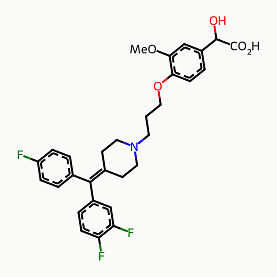 COc1cc(C(O)C(=O)O)ccc1OCCCN1CCC(=C(c2ccc(F)cc2)c2ccc(F)c(F)c2)CC1